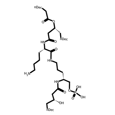 CCCCCCCCCCCC(=O)O[C@H](CCCCCCCCCCC)CC(=O)N[C@@H](CCCCN)C(=O)NCCC[C@H](COP(=O)(O)O)NC(=O)C[C@H](O)CCCCCCCCCCC